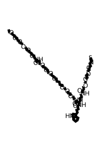 CCOCCOCCOCCOCCOCCOCCNC(=O)CCOCCOCCOCCOCCCCCOCCOCCOCCNC(=O)C(CCCCNC(=O)CCOCCOCCOCCOCCN=C=S)NC(=O)CCCc1c[nH]c2ccccc12